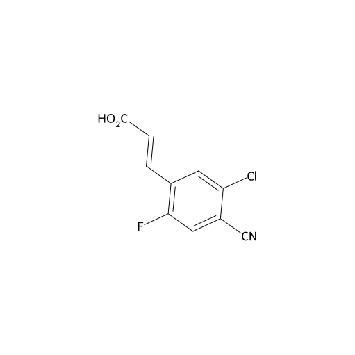 N#Cc1cc(F)c(C=CC(=O)O)cc1Cl